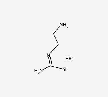 Br.NCCN=C(N)S